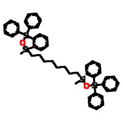 C[Si](C)(CCCCCCCC[Si](C)(C)O[Si](c1ccccc1)(c1ccccc1)c1ccccc1)O[Si](c1ccccc1)(c1ccccc1)c1ccccc1